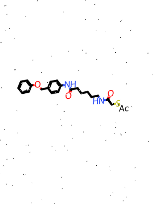 CC(=O)SCC(=O)NCCCCCC(=O)Nc1ccc(COc2ccccc2)cc1